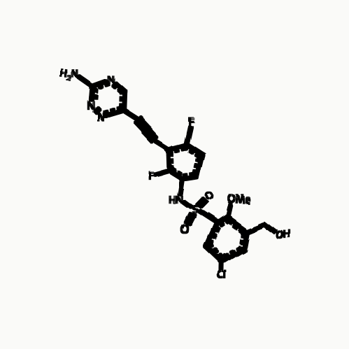 COc1c(CO)cc(Cl)cc1S(=O)(=O)Nc1ccc(F)c(C#Cc2cnc(N)nn2)c1F